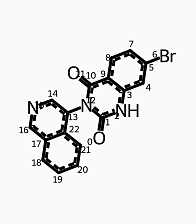 O=c1[nH]c2cc(Br)ccc2c(=O)n1-c1cncc2ccccc12